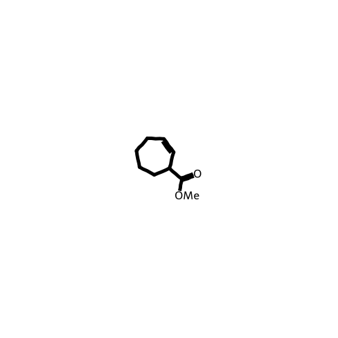 COC(=O)C1C=CCCCC1